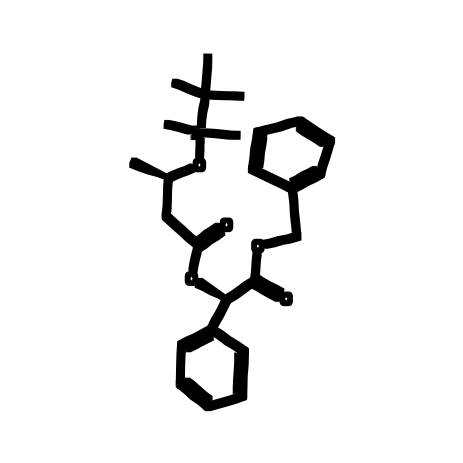 C[C@H](CC(=O)O[C@@H](C(=O)OCc1ccccc1)c1ccccc1)O[Si](C)(C)C(C)(C)C